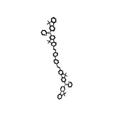 CC1(C)c2cc(/C=C/c3ccc(-c4ccc(/C=C/c5ccc6c(c5)C(C)(C)c5cc(N(c7ccc8c(c7)C(C)(C)c7ccccc7-8)c7ccccn7)ccc5-6)cc4)cc3)ccc2-c2ccc(N(C3=CC4C(C=C3)c3ccccc3C4(C)C)c3ccccn3)cc21